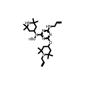 C=CCNc1nc(OC2CC(C)(C)N(CC=C)C(C)(C)C2)nc(N(CCCC)C2CC(C)(C)NC(C)(C)C2)n1